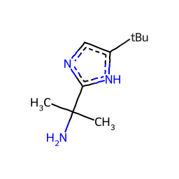 CC(C)(C)c1cnc(C(C)(C)N)[nH]1